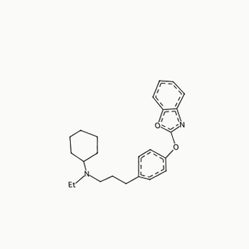 CCN(CCCc1ccc(Oc2nc3ccccc3o2)cc1)C1CCCCC1